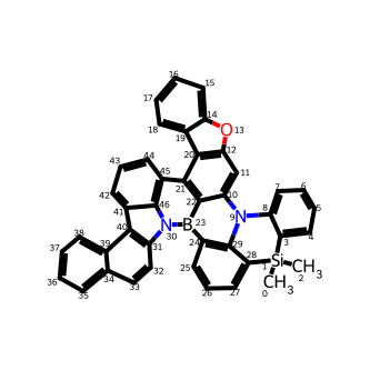 C[Si]1(C)c2ccccc2N2c3cc4oc5ccccc5c4c4c3B(c3cccc1c32)n1c2ccc3ccccc3c2c2cccc-4c21